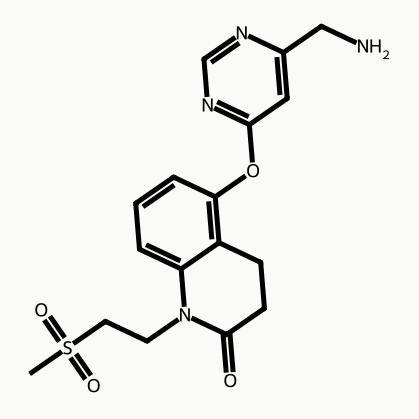 CS(=O)(=O)CCN1C(=O)CCc2c(Oc3cc(CN)ncn3)cccc21